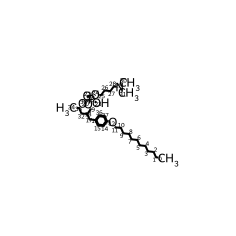 CCCCCCCCCCCCOc1ccc(CC(COP(=O)(O)OCCCCN(C)C)CC(C)=O)cc1